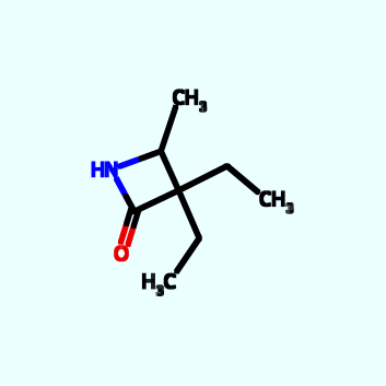 CCC1(CC)C(=O)NC1C